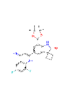 CC1(C)OB(c2cc(/C(=C/C=N)Nc3ccc(F)cc3F)cc3c2NC(=O)C32CCC2)OC1(C)C